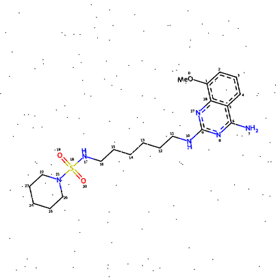 COc1cccc2c(N)nc(NCCCCCCNS(=O)(=O)N3CCCCC3)nc12